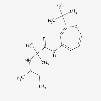 CCC(C)NC(C)(C)C(=O)NC1=CC=COC(C(C)(C)C)=C1